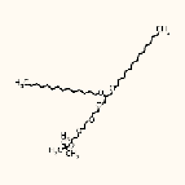 CCCCCCCCCCCCCCOCC(COCCOCCOCCOC(C)(C)C)OCCCCCCCCCCCCCC